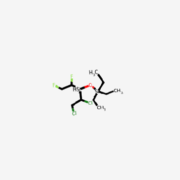 CC[Si](CC)(CC)O[SiH](C(F)CF)C(Cl)CCl